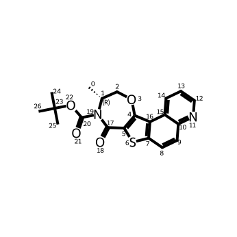 C[C@@H]1COc2c(sc3ccc4ncccc4c23)C(=O)N1C(=O)OC(C)(C)C